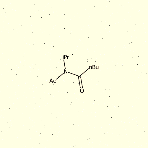 CCCCC(=O)N(C(C)=O)C(C)C